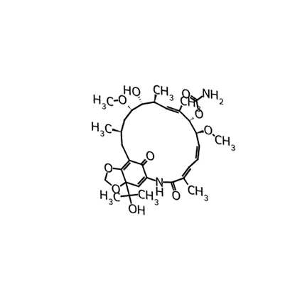 CO[C@H]1/C=C\C=C(/C)C(=O)NC2=CC3(C(C)(C)O)OCOC3=C(C[C@@H](C)C[C@H](OC)[C@H](O)[C@@H](C)/C=C(\C)[C@@H]1OC(N)=O)C2=O